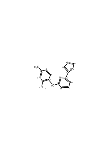 Cc1nc(N)ccc1Oc1ccnc(-c2cncs2)c1